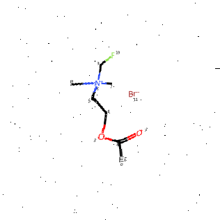 CCC(=O)OCC[N+](C)(C)CF.[Br-]